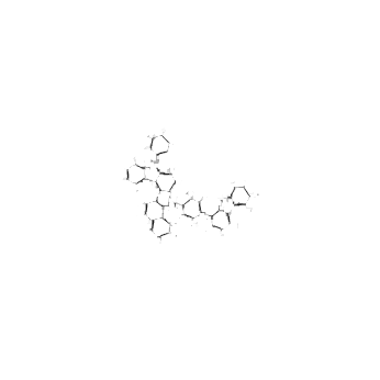 c1ccc(-n2c3ccccc3c3c4c5ccc6ccccc6c5n(-c5ccc(-c6cccc7c6sc6ccccc67)cc5)c4ccc32)cc1